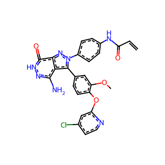 C=CC(=O)Nc1ccc(-n2nc3c(=O)[nH]nc(N)c3c2-c2ccc(Oc3cc(Cl)ccn3)c(OC)c2)cc1